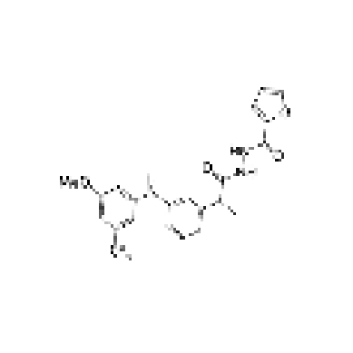 COc1cc(Nc2cccc(C(C)C(=O)NNC(=O)c3ccco3)c2)cc(C(F)(F)F)c1